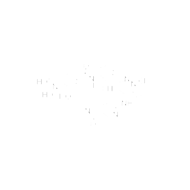 Cc1c(NC(=O)c2ccc(N(C)C)cc2)cccc1-c1cc(Nc2ccc(C(=O)N3CCC(O)CC3)cn2)c(=O)n(C)n1